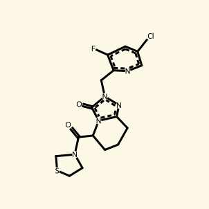 O=C(C1CCCc2nn(Cc3ncc(Cl)cc3F)c(=O)n21)N1CCSC1